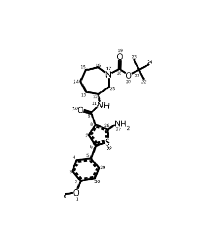 COc1ccc(-c2cc(C(=O)N[C@H]3CCCCN(C(=O)OC(C)(C)C)C3)c(N)s2)cc1